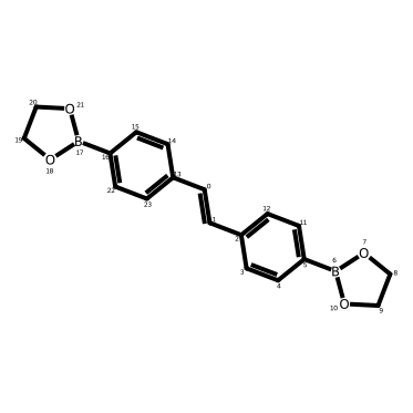 C(=C\c1ccc(B2OCCO2)cc1)/c1ccc(B2OCCO2)cc1